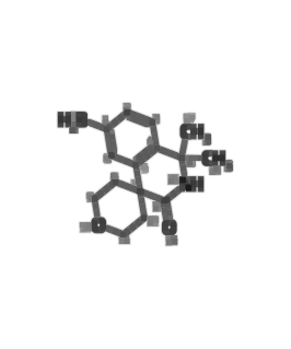 Bc1ccc2c(c1)C1(CCOCC1)C(=O)NC2(C)C